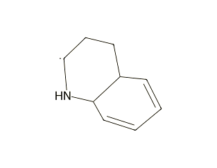 [CH]1CCC2C=CC=CC2N1